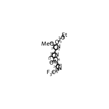 CCOCCOc1ncc(-c2cc(C)c3c(n2)CN(c2cnn(CC(F)(F)F)c2)C3=O)cc1OC